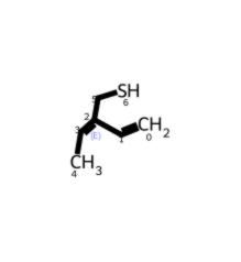 C=C/C(=C\C)CS